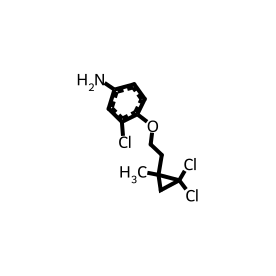 CC1(CCOc2ccc(N)cc2Cl)CC1(Cl)Cl